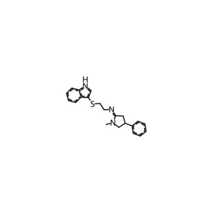 CN1CC(c2ccccc2)CC1=NCCSc1c[nH]c2ccccc12